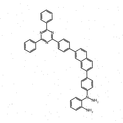 Nc1ccccc1N(N)c1ccc(-c2ccc3ccc(-c4ccc(-c5nc(-c6ccccc6)nc(-c6ccccc6)n5)cc4)cc3c2)cc1